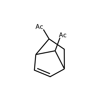 CC(=O)C1CC2C=CC1C2C(C)=O